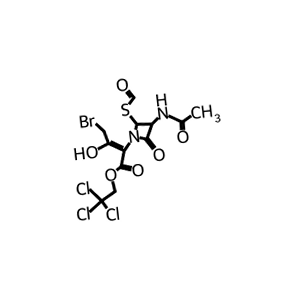 CC(=O)NC1C(=O)N(/C(C(=O)OCC(Cl)(Cl)Cl)=C(/O)CBr)C1SC=O